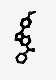 COc1ccc(-n2cnc3cc(C(=O)N4CCCCC4)cnc32)cc1